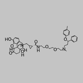 Cc1ccc(OC(CCN(C)CCOCCOCCNC(=O)[C@@H]2CC2CN2CC[C@]34c5c6ccc(O)c5O[C@H]3C(=O)CC[C@@]4(O)[C@H]2C6)c2ccccc2)cc1